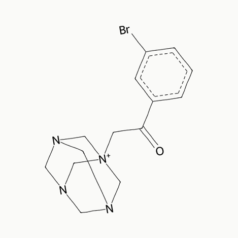 O=C(C[N+]12CN3CN(CN(C3)C1)C2)c1cccc(Br)c1